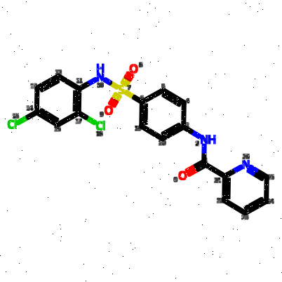 O=C(Nc1ccc(S(=O)(=O)Nc2ccc(Cl)cc2Cl)cc1)c1ccccn1